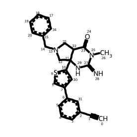 C#Cc1cccc(-c2csc(C34CN(Cc5ccccc5)CC3C(=O)N(C)C(=N)N4)c2)c1